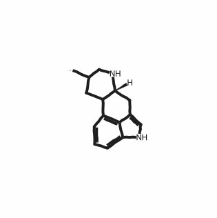 [CH2]C1CN[C@@H]2Cc3c[nH]c4cccc(c34)C2C1